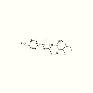 C/C=N\C(C)CC(NC)N/C(=N\C(=O)c1ccc(C(F)(F)F)cc1)NC(C)(C)C